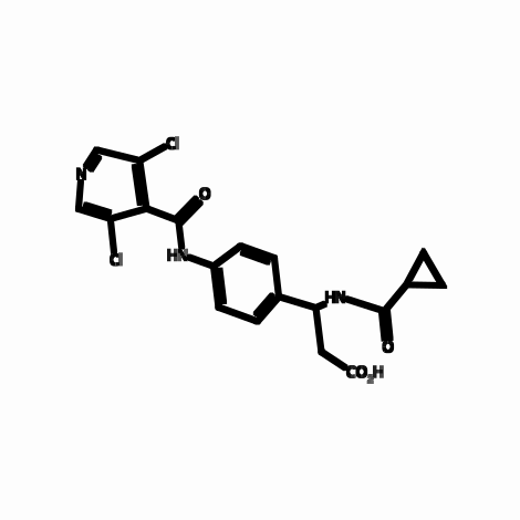 O=C(O)CC(NC(=O)C1CC1)c1ccc(NC(=O)c2c(Cl)cncc2Cl)cc1